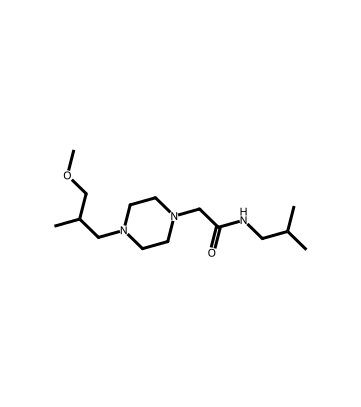 COCC(C)CN1CCN(CC(=O)NCC(C)C)CC1